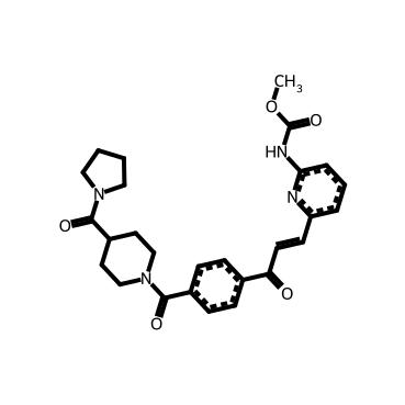 COC(=O)Nc1cccc(C=CC(=O)c2ccc(C(=O)N3CCC(C(=O)N4CCCC4)CC3)cc2)n1